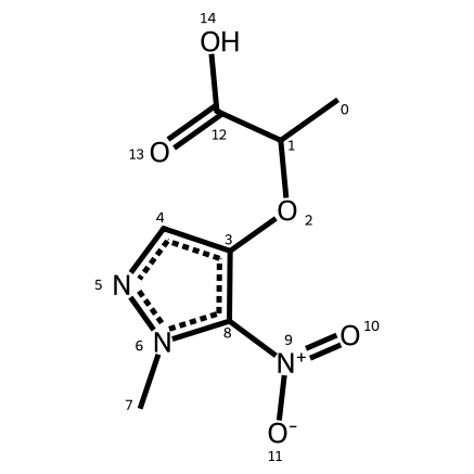 CC(Oc1cnn(C)c1[N+](=O)[O-])C(=O)O